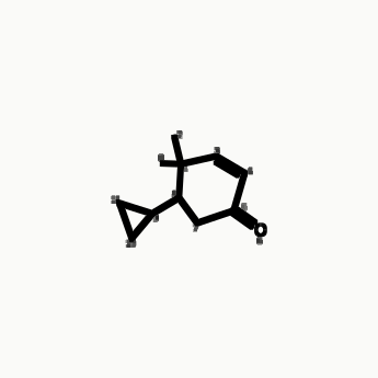 CC1(C)C=CC(=O)CC1C1CC1